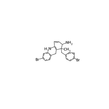 CC1(Cc2ccc(Br)cc2)C(Cc2ccc(Br)cc2)=C(N)C=CC1N